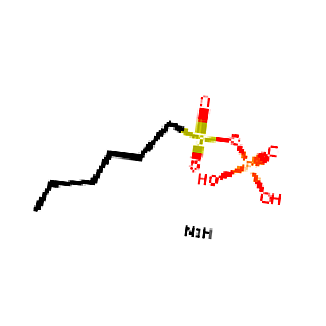 CCCCCCS(=O)(=O)OP(=O)(O)O.[NaH]